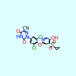 N#Cc1nn(-c2cc(Cl)c(Oc3cc(S(=O)(=O)C4CC4)c(O)cn3)c(Cl)c2)c(=O)[nH]c1=O